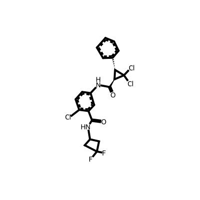 O=C(NC1CC(F)(F)C1)c1cc(NC(=O)[C@H]2[C@H](c3ccccc3)C2(Cl)Cl)ccc1Cl